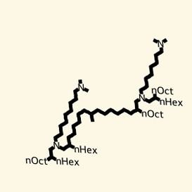 CCCCCCCCC(CCCCCC)CN(CCCCCCCCCN(C)C)CC(CCCCCC)CCCCCCC(C)CCCCCCC(CCCCCCCC)CN(CCCCCCCCN(C)C)CC(CCCCCC)CCCCCCCC